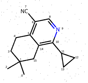 CC1(C)CCc2c(C#N)cnc(C3CC3)c2C1